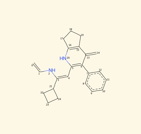 C=CN/C(=C\C1=C(c2ccccc2)C(=C)C2=C(CCC2)N1)C1CCC1